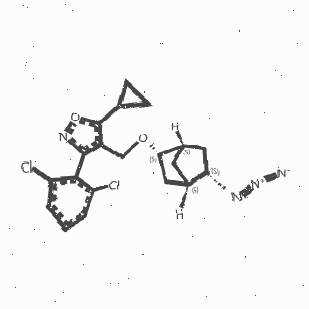 [N-]=[N+]=N[C@H]1C[C@@H]2C[C@H]1C[C@@H]2OCc1c(-c2c(Cl)cccc2Cl)noc1C1CC1